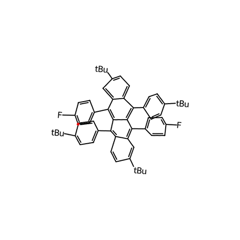 CC(C)(C)c1ccc(-c2c3ccc(C(C)(C)C)cc3c(-c3ccc(F)cc3)c3c(-c4ccc(C(C)(C)C)cc4)c4ccc(C(C)(C)C)cc4c(-c4ccc(F)cc4)c23)cc1